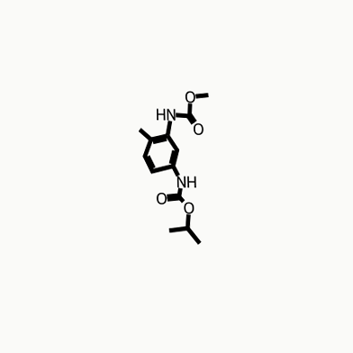 COC(=O)Nc1cc(NC(=O)OC(C)C)ccc1C